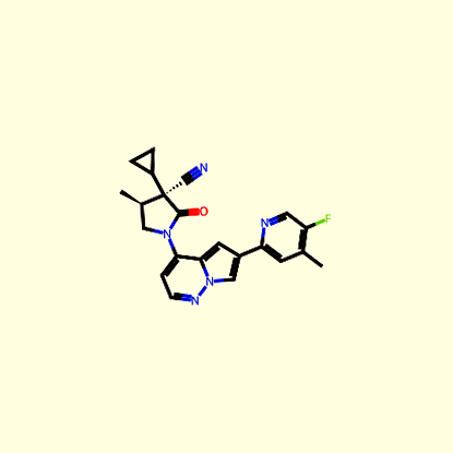 Cc1cc(-c2cc3c(N4C[C@@H](C)[C@@](C#N)(C5CC5)C4=O)ccnn3c2)ncc1F